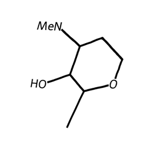 CNC1CCOC(C)C1O